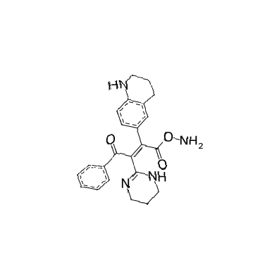 NOC(=O)C(=C(C(=O)c1ccccc1)C1=NCCCN1)c1ccc2c(c1)CCCN2